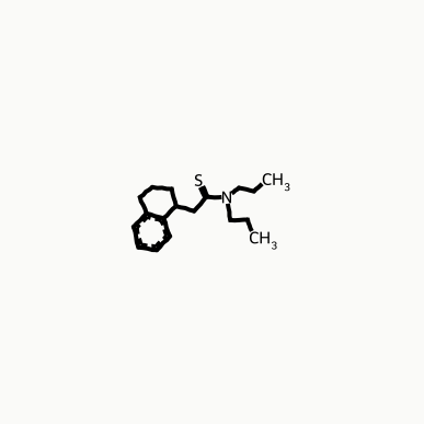 CCCN(CCC)C(=S)CC1CCCc2ccccc21